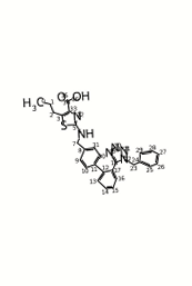 CCCc1sc(NCc2ccc(-c3ccccc3-c3nnnn3Cc3ccccc3)cc2)nc1C(=O)O